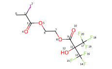 CC(I)C(=O)OCCOC(=O)C(O)(C(F)(F)F)C(F)(F)F